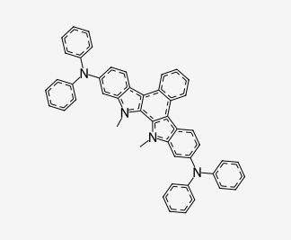 Cn1c2cc(N(c3ccccc3)c3ccccc3)ccc2c2c3ccccc3c3c4ccc(N(c5ccccc5)c5ccccc5)cc4n(C)c3c21